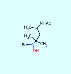 CC(=O)NC(C)CC(C)(C)N(O)C(C)(C)C